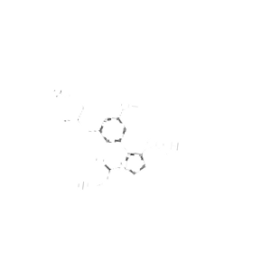 COC[C@H](C)Oc1cc(O)cc(-c2c(C(=O)O)ccn2C(=O)OC(C)(C)C)c1